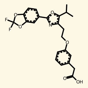 CC(C)c1oc(-c2ccc3c(c2)OC(F)(F)O3)nc1CCOc1cccc(CC(=O)O)c1